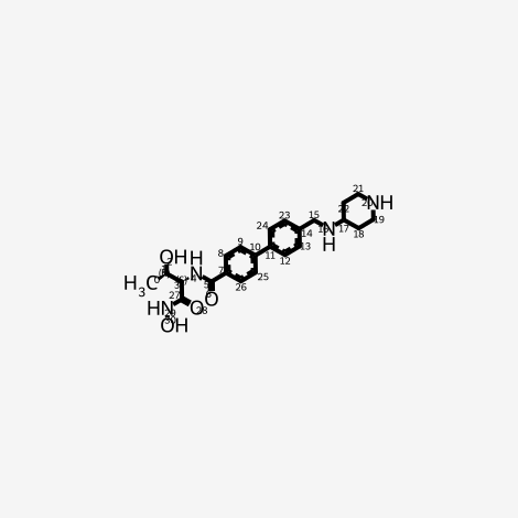 C[C@@H](O)[C@H](NC(=O)c1ccc(-c2ccc(CNC3CCNCC3)cc2)cc1)C(=O)NO